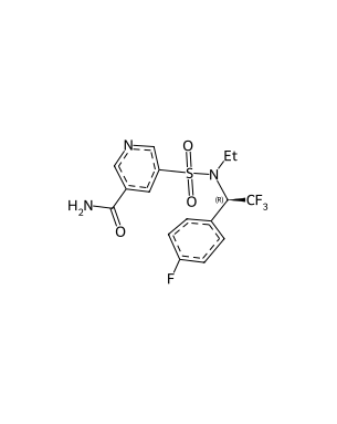 CCN([C@H](c1ccc(F)cc1)C(F)(F)F)S(=O)(=O)c1cncc(C(N)=O)c1